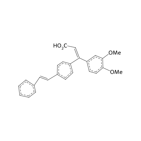 COc1ccc(C(=CC(=O)O)c2ccc(C=Cc3ccccc3)cc2)cc1OC